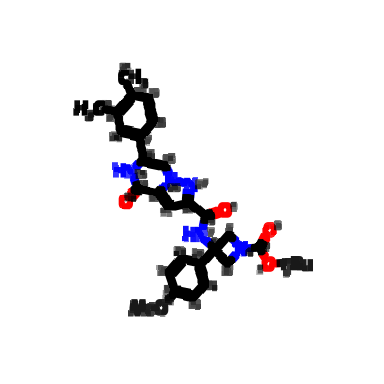 CCCCOC(=O)N1CC(NC(=O)c2cc3c(=O)[nH]c(-c4ccc(C)c(C)c4)cn3n2)(c2ccc(OC)cc2)C1